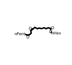 CCCCCCOC(=O)CCCCCCCC1OC1CC1OC1CCCCC